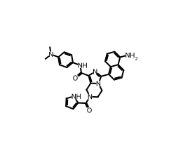 CN(C)c1ccc(NC(=O)c2nc(-c3cccc4c(N)cccc34)n3c2CN(C(=O)c2ccc[nH]2)CC3)cc1